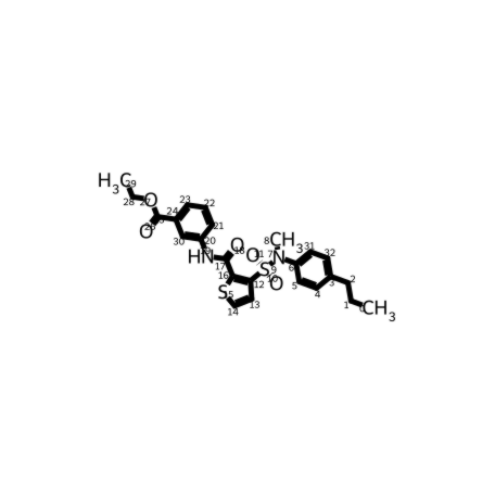 CCCc1ccc(N(C)S(=O)(=O)c2ccsc2C(=O)Nc2cccc(C(=O)OCC)c2)cc1